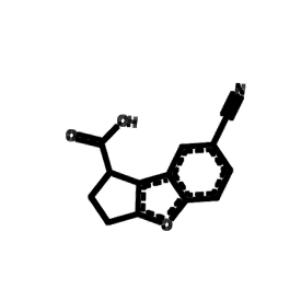 N#Cc1ccc2oc3c(c2c1)C(C(=O)O)CC3